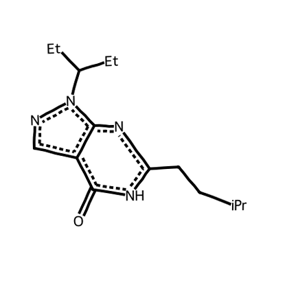 CCC(CC)n1ncc2c(=O)[nH]c(CCC(C)C)nc21